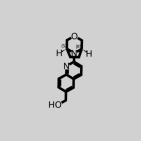 OCc1ccc2nc(N3[C@@H]4CC[C@H]3COC4)ccc2c1